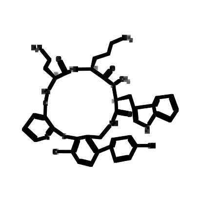 CN1C(=O)[C@H](CCCN)NC(=O)[C@H](CCN)NCc2cccnc2Sc2c(Cl)ccc(-c3ccc(S)cc3)c2CNC(=O)[C@@H]1Cc1c[nH]c2ccccc12